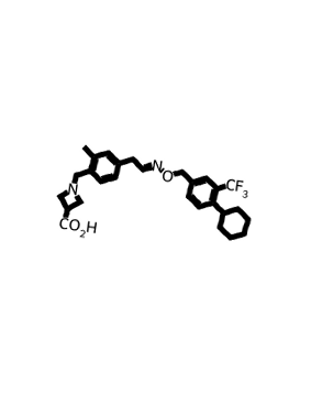 Cc1cc(CC=NOCc2ccc(C3CCCCC3)c(C(F)(F)F)c2)ccc1CN1CC(C(=O)O)C1